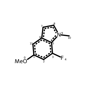 COc1cc(F)c2c(ccn2C)c1